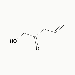 C=CCC(=O)CO